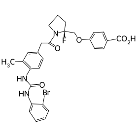 Cc1cc(CC(=O)N2CCC[C@]2(F)COc2ccc(C(=O)O)cc2)ccc1NC(=O)Nc1ccccc1Br